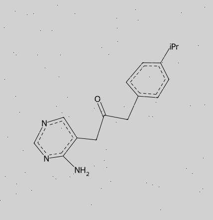 CC(C)c1ccc(CC(=O)Cc2cncnc2N)cc1